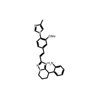 COc1cc(C=Cc2nc3n(n2)CCCC3c2ccccc2N)ccc1-n1cnc(C)c1